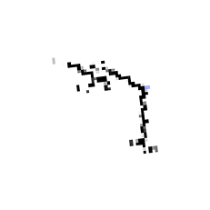 CCCCCN(C)C(=O)N(C)CCCC/C=C\CCCCCCC(=O)O